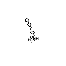 NNC(=O)Cc1ccc(CCc2ccc(N3CCCC3)cc2)cc1